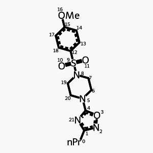 CCCc1noc(N2CCN(S(=O)(=O)c3ccc(OC)cc3)CC2)n1